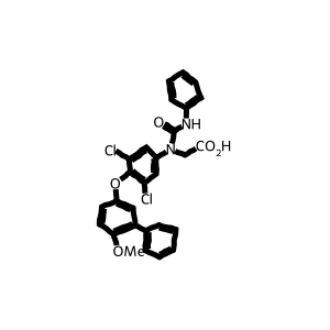 COc1ccc(Oc2c(Cl)cc(N(CC(=O)O)C(=O)Nc3ccccc3)cc2Cl)cc1-c1ccccc1